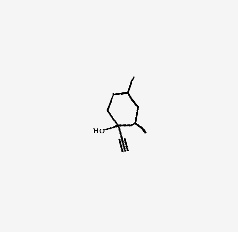 C#CC1(O)CCC(C)CC1C